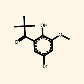 COc1cc(Br)cc(C(=O)C(C)(C)C)c1O